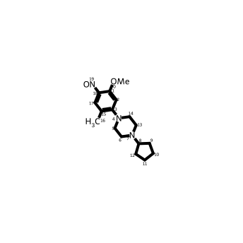 COc1cc(N2CCN(C3CCCC3)CC2)c(C)cc1N=O